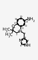 CC1(C)CN(Cc2c[nH]cn2)c2cc(N)ccc2O1